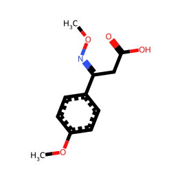 CON=C(CC(=O)O)c1ccc(OC)cc1